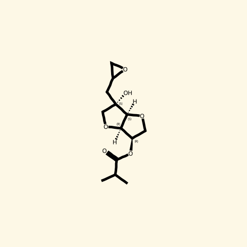 CC(C)C(=O)O[C@@H]1CO[C@H]2[C@@H]1OC[C@@]2(O)CC1CO1